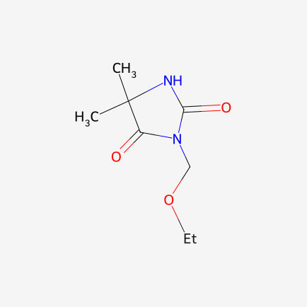 CCOCN1C(=O)NC(C)(C)C1=O